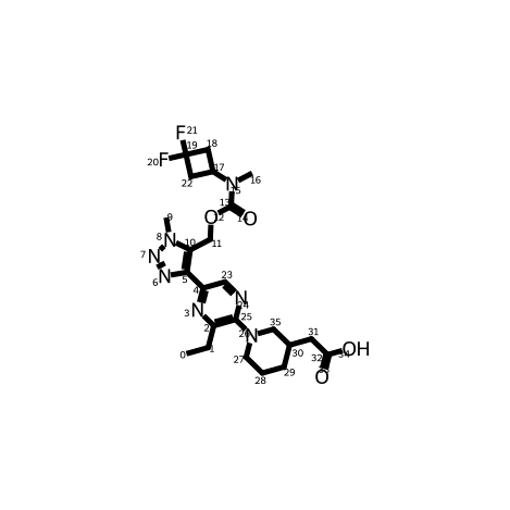 CCc1nc(-c2nnn(C)c2COC(=O)N(C)C2CC(F)(F)C2)cnc1N1CCCC(CC(=O)O)C1